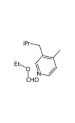 CCOC=O.Cc1ccncc1CC(C)C